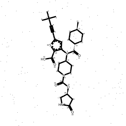 CC(C)(C)C#Cc1cc(N(C(=O)[C@H]2CC[C@H](C)CC2)C2CCN(C(=O)O[C@@H]3CNC(=O)C3)CC2)c(C(=O)O)s1